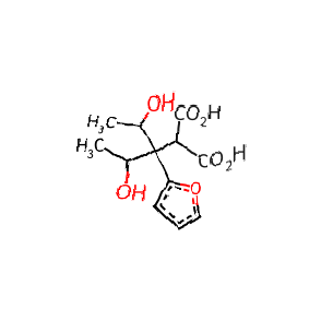 CC(O)C(c1ccco1)(C(C)O)C(C(=O)O)C(=O)O